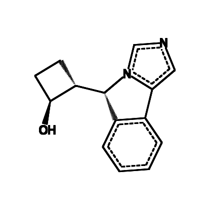 O[C@H]1CC[C@@H]1[C@H]1c2ccccc2-c2cncn21